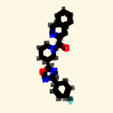 O=C(c1cc2ccccc2cn1)N1CCC[C@H](c2nc(C3C=CC(F)=CC3)no2)C1